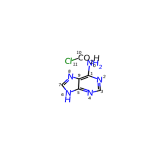 Nc1ncnc2[nH]cnc12.O=C(O)Cl